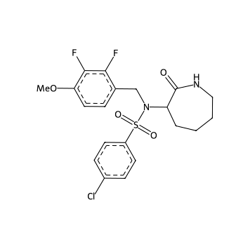 COc1ccc(CN(C2CCCCNC2=O)S(=O)(=O)c2ccc(Cl)cc2)c(F)c1F